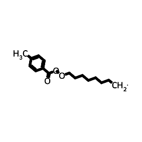 [CH2]CCCCCCCOOC(=O)c1ccc(C)cc1